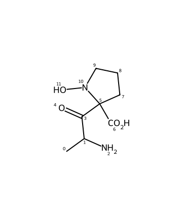 CC(N)C(=O)C1(C(=O)O)CCCN1O